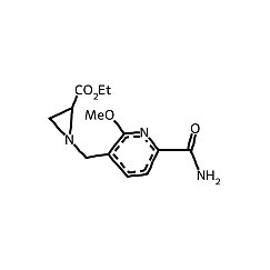 CCOC(=O)C1CN1Cc1ccc(C(N)=O)nc1OC